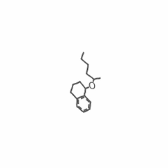 CCCCC(C)OC1CCCc2ccccc21